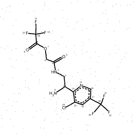 NC(CNC(=O)COC(=O)C(F)(F)F)c1ncc(C(F)(F)F)cc1Cl